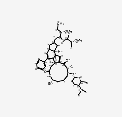 CC[C@H]1CCC[C@H](O[C@H]2CC[C@H](N(C)C)C(C)O2)[C@@H](C)C(=O)C2=C[C@@H]3C(C(c4ccccc4)=CC4C[C@@H](OC(OC(C)[C@@H](C)OC)[C@H](COC)OC)C[C@H]43)[C@@H]2CC(=O)O1